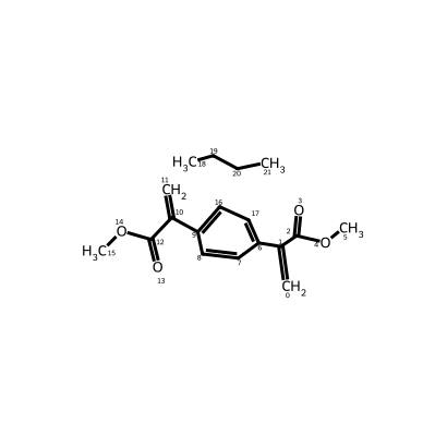 C=C(C(=O)OC)c1ccc(C(=C)C(=O)OC)cc1.CCCC